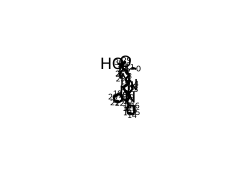 CC[C@H]1CN(c2cnc(N=C(c3ccccc3)c3ccccc3)cn2)CCN1C(=O)O